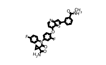 CNC(=O)c1cccc(-c2cc3nccc(Oc4ccc(N(C(=O)C5(C(N)=O)CC5)c5ccc(F)cc5)cc4F)c3s2)c1